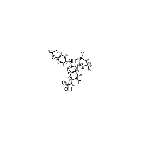 CC(C)Oc1ccc(Nc2nc3cc(CC(=O)O)c(F)cc3n2[C@@H]2C[C@H](C)CC(C)(C)C2)cc1